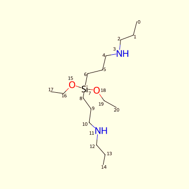 CCCNCCC[Si](CCCNCCC)(OCC)OCC